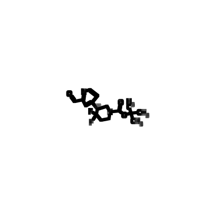 CC(C)(C)OC(=O)N1CCC(F)(F)[C@@H](c2ccnc(C=O)c2)C1